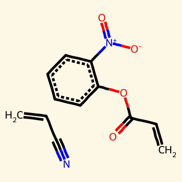 C=CC#N.C=CC(=O)Oc1ccccc1[N+](=O)[O-]